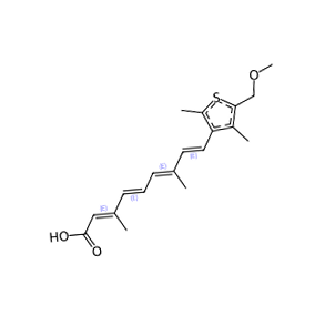 COCc1sc(C)c(/C=C/C(C)=C/C=C/C(C)=C/C(=O)O)c1C